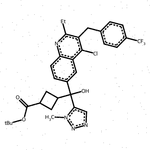 CCc1nc2ccc(C(O)(c3cnnn3C)C3CC(C(=O)OC(C)(C)C)C3)cc2c(Cl)c1Cc1ccc(C(F)(F)F)cc1